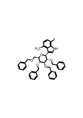 Cc1ccc(F)c2[nH]cc([C@@H]3O[C@H](COCc4ccccc4)[C@@H](OCc4ccccc4)[C@H](OCc4ccccc4)[C@H]3OCc3ccccc3)c12